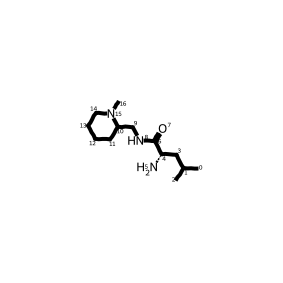 CC(C)C[C@H](N)C(=O)NCC1CCCCN1C